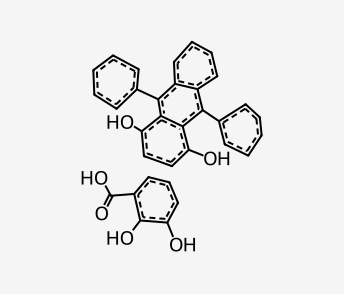 O=C(O)c1cccc(O)c1O.Oc1ccc(O)c2c(-c3ccccc3)c3ccccc3c(-c3ccccc3)c12